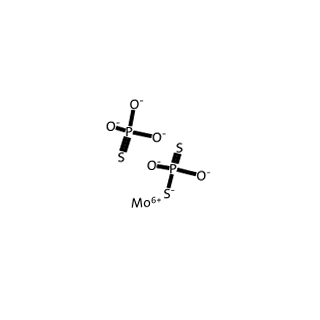 [Mo+6].[O-]P([O-])(=S)[S-].[O-]P([O-])([O-])=S